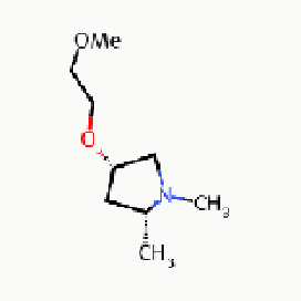 COCCO[C@H]1C[C@@H](C)N(C)C1